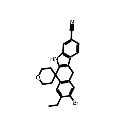 CCc1cc2c(cc1Br)Cc1c([nH]c3cc(C#N)ccc13)C21CCOCC1